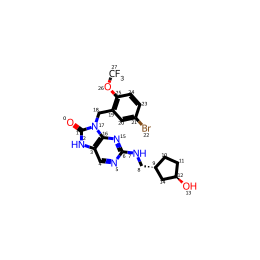 O=c1[nH]c2cnc(NC[C@@H]3CC[C@@H](O)C3)nc2n1Cc1cc(Br)ccc1OC(F)(F)F